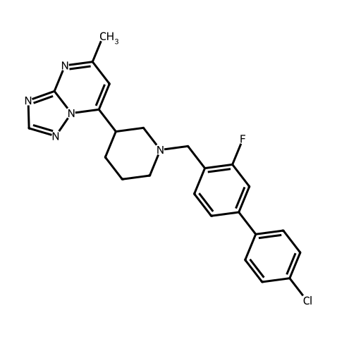 Cc1cc(C2CCCN(Cc3ccc(-c4ccc(Cl)cc4)cc3F)C2)n2ncnc2n1